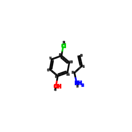 C=CCN.Oc1ccc(Cl)cc1